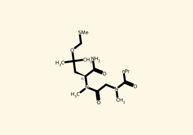 CCCC(=O)N(C)CC(=O)N(C)[C@@H](CC(C)(C)OCSC)C(N)=O